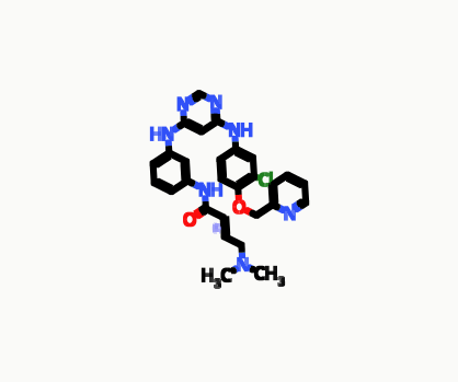 CN(C)C/C=C/C(=O)Nc1cccc(Nc2cc(Nc3ccc(OCc4ccccn4)c(Cl)c3)ncn2)c1